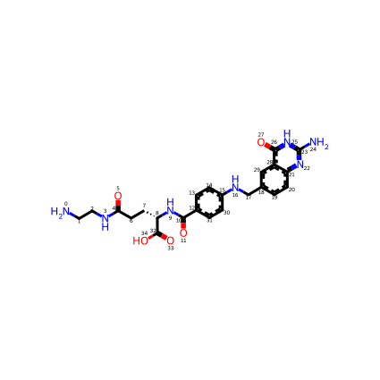 NCCNC(=O)CC[C@H](NC(=O)c1ccc(NCc2ccc3nc(N)[nH]c(=O)c3c2)cc1)C(=O)O